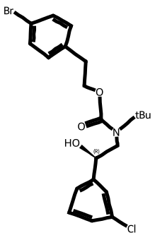 CC(C)(C)N(C[C@H](O)c1cccc(Cl)c1)C(=O)OCCc1ccc(Br)cc1